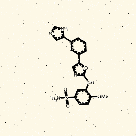 COc1ccc(S(N)(=O)=O)cc1Nc1ncc(-c2cccc(-c3cnc[nH]3)c2)o1